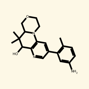 Cc1ccc(N)cc1-c1cnc2c(c1)N1CCOCC1C(C)(C)C2O